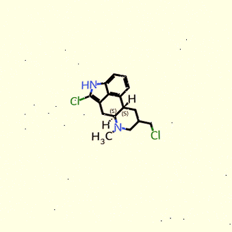 CN1CC(CCl)C[C@H]2c3cccc4[nH]c(Cl)c(c34)C[C@@H]21